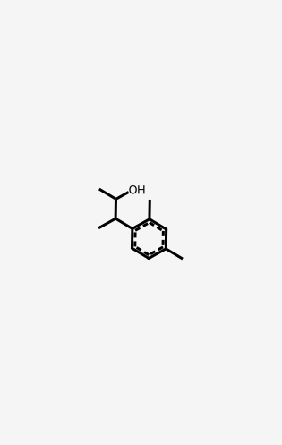 Cc1ccc(C(C)C(C)O)c(C)c1